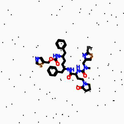 CC(C)c1nc(CN(C)C(=O)NC(CCN2CCCC2=O)C(=O)NC(CCC(Cc2ccccc2)NC(=O)OCc2cncs2)Cc2ccccc2)cs1